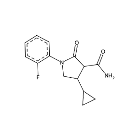 NC(=O)C1C(=O)N(c2ccccc2F)CC1C1CC1